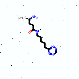 N[C@@H](CCC(=O)NCCCCCc1nncnn1)C(=O)O